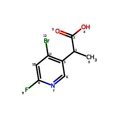 CC(C(=O)O)c1cnc(F)cc1Br